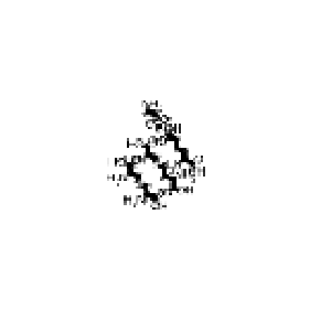 NC(CCCC(=O)O)C(=O)O.NC(CCSCC(N)C(=O)O)C(=O)O.NC(CSCC(N)C(=O)O)C(=O)O.NCCS(=O)(=O)O